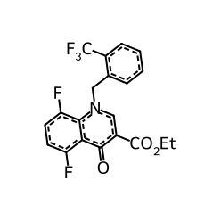 CCOC(=O)c1cn(Cc2ccccc2C(F)(F)F)c2c(F)ccc(F)c2c1=O